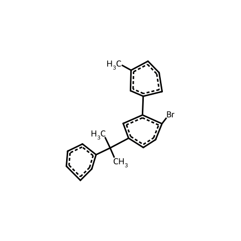 Cc1cccc(-c2cc(C(C)(C)c3ccccc3)ccc2Br)c1